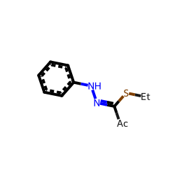 CCSC(=NNc1ccccc1)C(C)=O